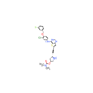 CN(C)C(=O)O[C@@H]1CN[C@@H](C#Cc2cc3ncnc(Nc4ccc(OCc5cccc(F)c5)c(Cl)c4)c3s2)C1